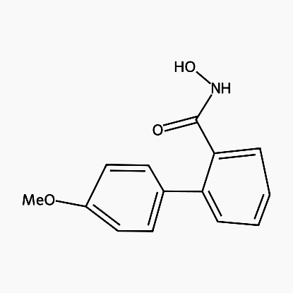 COc1ccc(-c2ccccc2C(=O)NO)cc1